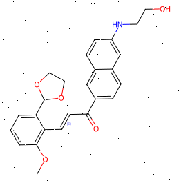 COc1cccc(C2OCCO2)c1/C=C/C(=O)c1ccc2cc(NCCO)ccc2c1